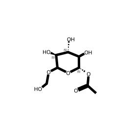 CC(=O)O[C@@H]1OC(OCO)[C@@H](O)[C@H](O)C1O